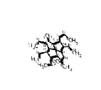 C=CC1=C(C=C)C2(C(C=C)=C(/C=C\C)C(C=C)=C2/C=C\C)C(/C=C\C)=C1C=C